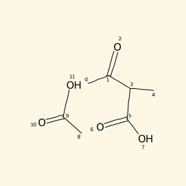 CC(=O)C(C)C(=O)O.CC(=O)O